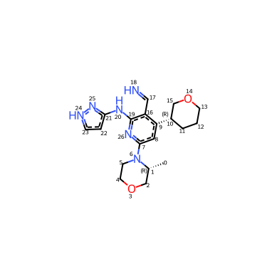 C[C@@H]1COCCN1c1cc([C@H]2CCCOC2)c(C=N)c(Nc2cc[nH]n2)n1